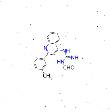 Cc1cccc(-c2cc(NC(=N)NC=O)c3ccccc3n2)c1